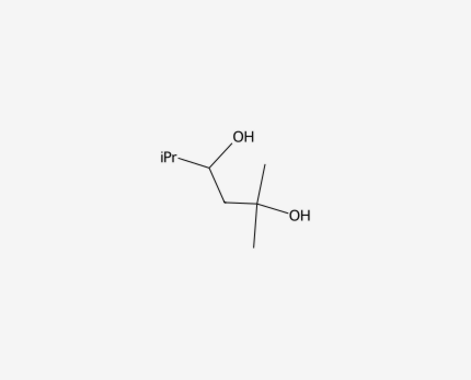 CC(C)C(O)CC(C)(C)O